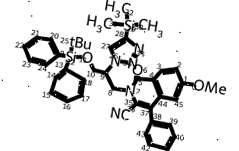 COc1ccc2c(=O)n(CC(CO[Si](c3ccccc3)(c3ccccc3)C(C)(C)C)n3cc([Si](C)(C)C)nn3)c(C#N)c(-c3ccccc3)c2c1